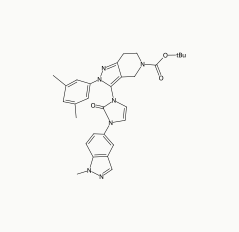 Cc1cc(C)cc(-n2nc3c(c2-n2ccn(-c4ccc5c(cnn5C)c4)c2=O)CN(C(=O)OC(C)(C)C)CC3)c1